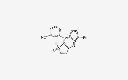 CCc1ccc2c(-c3cccc(C#N)c3)c3c(nn12)C=CS3(=O)=O